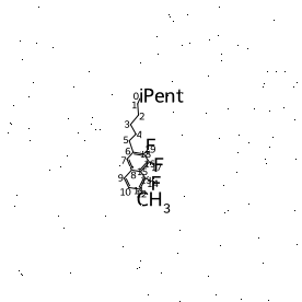 CCCC(C)CCCCCc1cc2ccc(C)c(F)c2c(F)c1F